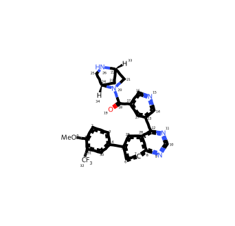 COc1ccc(-c2ccc3ncnc(-c4cncc(C(=O)N5C[C@@H]6C[C@H]5CN6)c4)c3c2)cc1C(F)(F)F